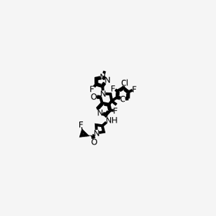 Cn1cc(F)c(N2CC(C)(c3ccc(F)c(Cl)c3F)c3c(cnc(NC4CN(C(=O)[C@@H]5C[C@@H]5F)C4)c3F)C2=O)n1